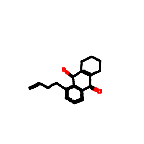 C=CCCc1cccc2c1C(=O)C1=C(CCCC1)C2=O